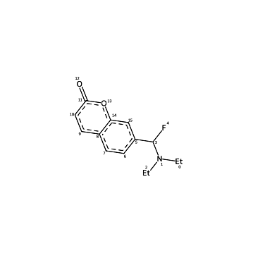 CCN(CC)C(F)c1ccc2ccc(=O)oc2c1